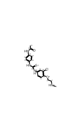 CNCCOc1ccc(NC(=S)Nc2ccc(NC(C)=O)cc2)cc1Cl